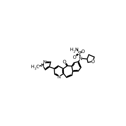 Cn1cc(-c2cnc3ccc4ccc(N(C5CCOC5)S(N)(=O)=O)cc4c(=O)c3c2)cn1